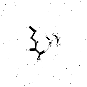 C=CCNC(=O)C(N)=O.[O-][Cl+]O.[O-][Cl+]O